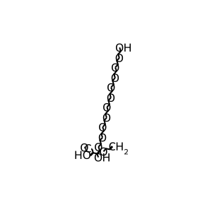 C=CCO/C(OCCOCCOCCOCCOCCOCCOCCOCCOCCOCCO)=C(O)/C(C=C=O)=C/O